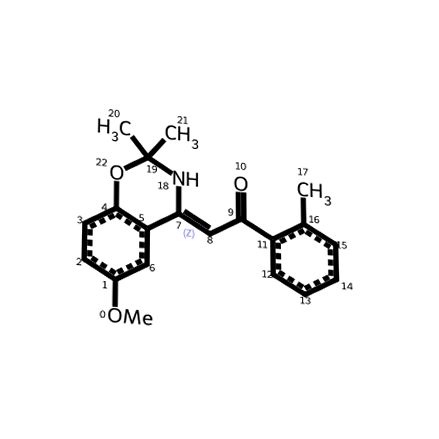 COc1ccc2c(c1)/C(=C/C(=O)c1ccccc1C)NC(C)(C)O2